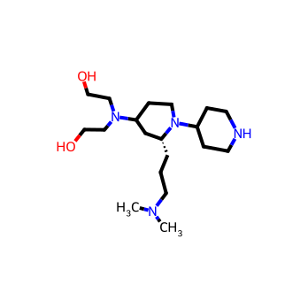 CN(C)CCC[C@@H]1CC(N(CCO)CCO)CCN1C1CCNCC1